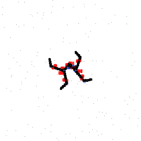 CCCCCC/C=C\COC(=O)CCCCCC(O)CN(CCCNC(=O)CC(C)(O)CC(=O)NCCCN(CC(O)CCCCCC(=O)OC/C=C\CCCCCC)CC(O)CCCCCC(=O)OC/C=C\CCCCCC)CC(O)CCCCCC(=O)OC/C=C\CCCCCC